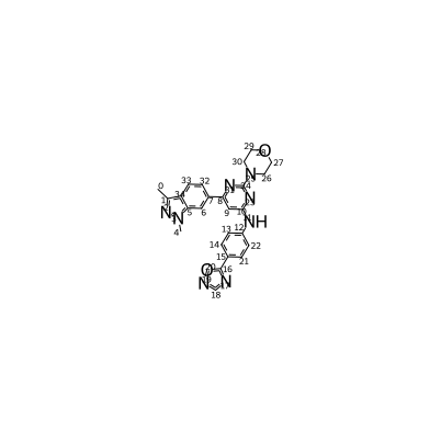 Cc1nn(C)c2cc(-c3cc(Nc4ccc(-c5ncno5)cc4)nc(N4CCOCC4)n3)ccc12